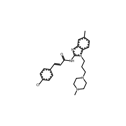 Cc1ccc2c(c1)nc(NC(=O)C=Cc1ccc(Cl)cc1)n2CCCN1CCN(C)CC1